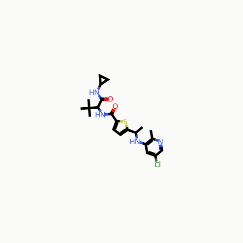 Cc1ncc(Cl)cc1NC(C)c1ccc(C(=O)NC(C(=O)NC2CC2)C(C)(C)C)s1